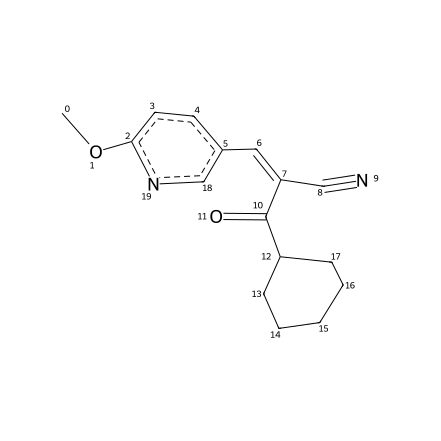 COc1ccc(C=C(C#N)C(=O)C2CCCCC2)cn1